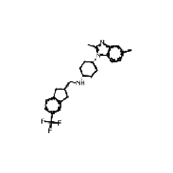 Cc1ccc2c(c1)nc(C)n2[C@H]1CC[C@@H](NCC2Cc3ccc(C(F)(F)F)cc3C2)CC1